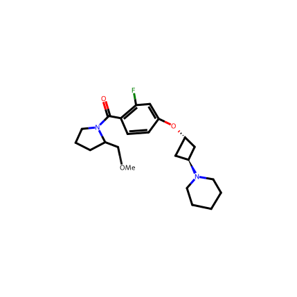 COCC1CCCN1C(=O)c1ccc(O[C@H]2C[C@H](N3CCCCC3)C2)cc1F